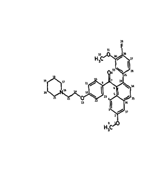 COc1ccc2c(C(=O)c3ccc(OCCN4CCCCC4)cc3)c(-c3ccc(F)c(OC)c3)ccc2c1